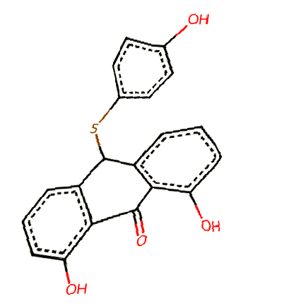 O=C1c2c(O)cccc2C(Sc2ccc(O)cc2)c2cccc(O)c21